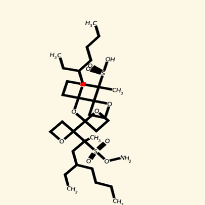 CCCCC(CC)CC(C)(C1(C2(OC3(C4(C(C)(CC(CC)CCCC)S(=O)(=O)ON)CCO4)CCO3)CCO2)CCO1)S(=O)(=O)O